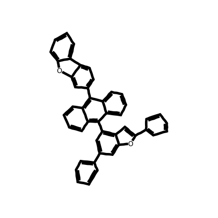 c1ccc(-c2cc(-c3c4ccccc4c(-c4ccc5c(c4)oc4ccccc45)c4ccccc34)c3cc(-c4ccccc4)oc3c2)cc1